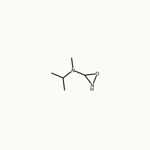 CC(C)N(C)C1NO1